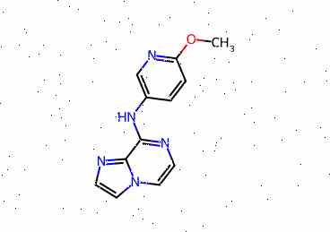 COc1ccc(Nc2nccn3ccnc23)cn1